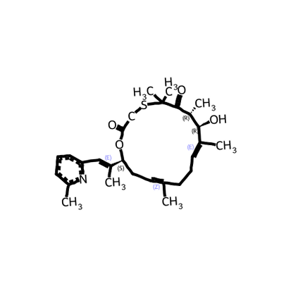 C/C1=C/C[C@@H](/C(C)=C/c2cccc(C)n2)OC(=O)CSC(C)(C)C(=O)[C@H](C)[C@@H](O)/C(C)=C/CC1